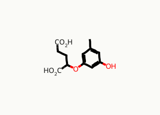 Cc1cc(O)cc(OC(CCC(=O)O)C(=O)O)c1